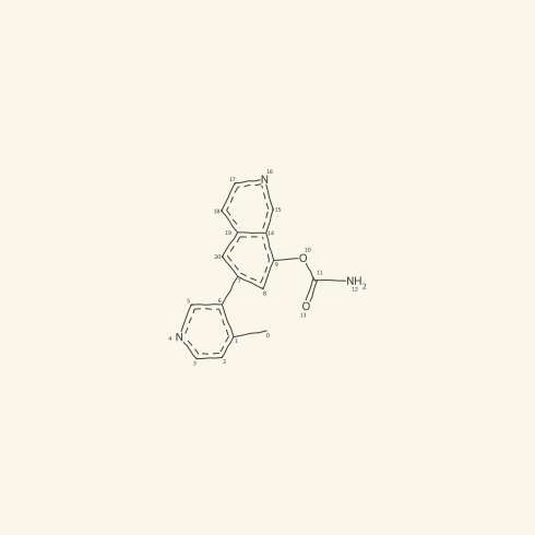 Cc1ccncc1-c1cc(OC(N)=O)c2cnccc2c1